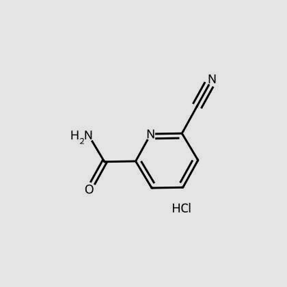 Cl.N#Cc1cccc(C(N)=O)n1